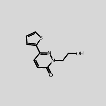 O=c1ccc(-c2cccs2)nn1CCO